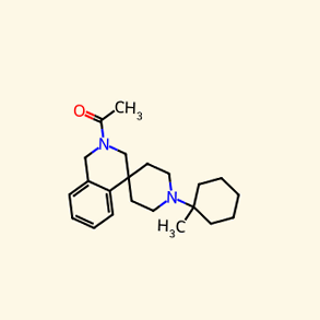 CC(=O)N1Cc2ccccc2C2(CCN(C3(C)CCCCC3)CC2)C1